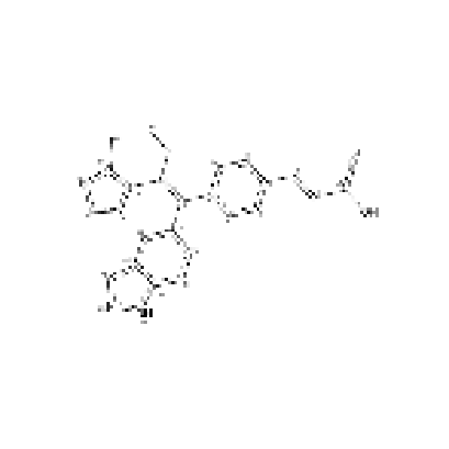 CCC(=C(c1ccc(C=CC(=O)O)cc1)c1ccc2[nH]ncc2c1)c1ccnn1C